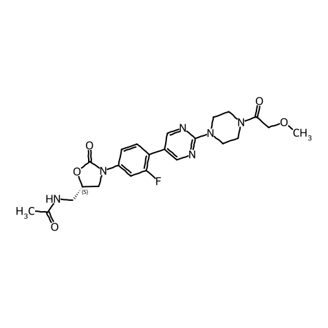 COCC(=O)N1CCN(c2ncc(-c3ccc(N4C[C@H](CNC(C)=O)OC4=O)cc3F)cn2)CC1